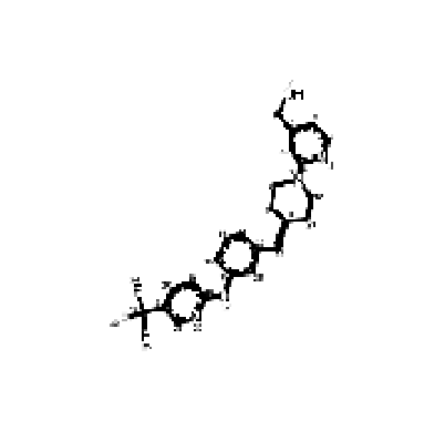 OCc1ccnc(N2CCC(=Cc3cccc(Oc4ccc(C(F)(F)F)cn4)c3)CC2)c1